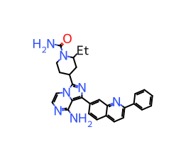 CCC1CC(c2nc(-c3ccc4ccc(-c5ccccc5)nc4c3)c3c(N)nccn23)CCN1C(N)=O